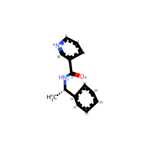 C[C@H](NC(=O)c1cccnc1)c1ccccc1